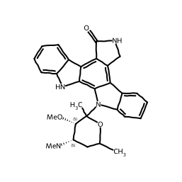 CN[C@H]1CC(C)OC(C)(n2c3ccccc3c3c4c(c5c6ccccc6[nH]c5c32)C(=O)NC4)[C@H]1OC